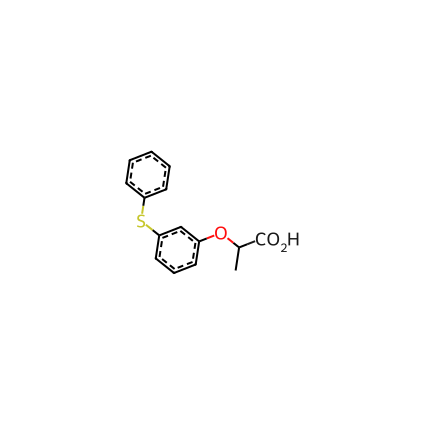 CC(Oc1cccc(Sc2ccccc2)c1)C(=O)O